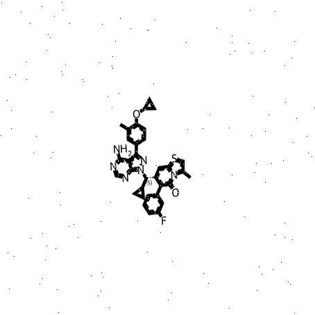 Cc1cc(-c2nn([C@H](c3cc4scc(C)n4c(=O)c3-c3cccc(F)c3)C3CC3)c3ncnc(N)c23)ccc1OC1CC1